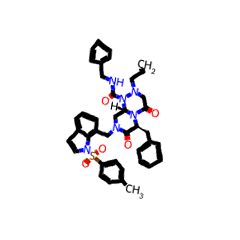 C=CCN1CC(=O)N2[C@@H](Cc3ccccc3)C(=O)N(Cc3cccc4ccn(S(=O)(=O)c5ccc(C)cc5)c34)C[C@@H]2N1C(=O)NCc1ccccc1